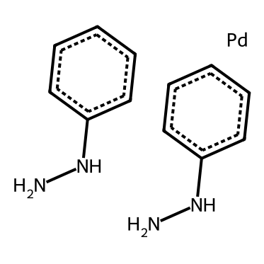 NNc1ccccc1.NNc1ccccc1.[Pd]